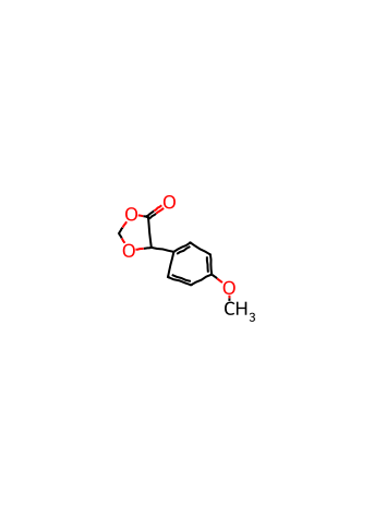 COc1ccc(C2OCOC2=O)cc1